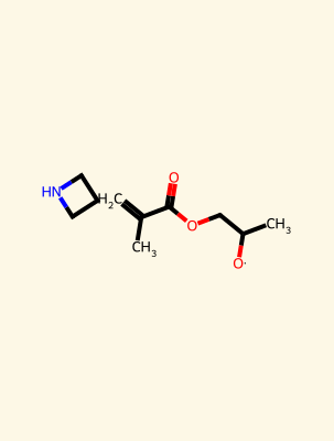 C1CNC1.C=C(C)C(=O)OCC(C)[O]